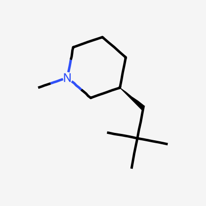 CN1CCC[C@@H](CC(C)(C)C)C1